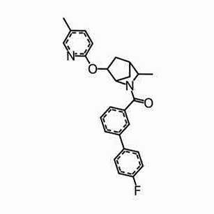 Cc1ccc(OC2CC3CC2N(C(=O)c2cccc(-c4ccc(F)cc4)c2)C3C)nc1